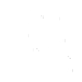 Cc1ccc(C(O)(c2cc[nH]c2)c2cc(C)c3nc(Cl)c(-c4ccccc4)c(Cl)c3c2)cn1